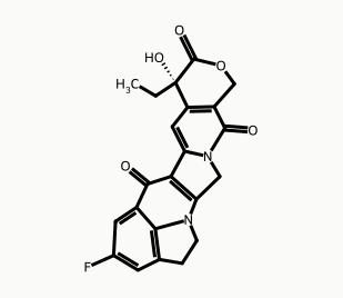 CC[C@@]1(O)C(=O)OCc2c1cc1n(c2=O)Cc2c-1c(=O)c1cc(F)cc3c1n2CC3